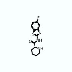 O=C(Nc1nc2cc(F)ccc2s1)[C@@H]1CCCCN1